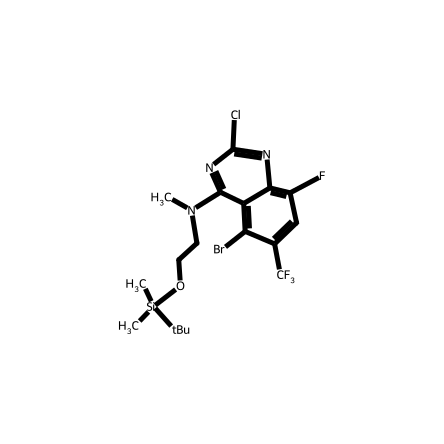 CN(CCO[Si](C)(C)C(C)(C)C)c1nc(Cl)nc2c(F)cc(C(F)(F)F)c(Br)c12